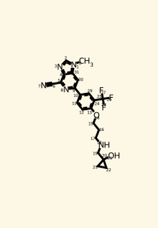 Cn1cnc2c(C#N)nc(-c3ccc(OCCCNCC4(O)CC4)c(C(F)(F)F)c3)cc21